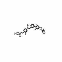 Cc1cc(OCC2(C)COC2)cc(C)c1-c1cccc(CNc2ccc(CCC(=O)O)c(F)c2)c1